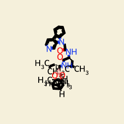 CC(C)C[C@H](NC(=O)[C@H](CC(C)C)NC(=O)Cn1c2ccccc2c2ccncc21)B1O[C@@H]2C[C@@H]3C[C@@H](C3(C)C)[C@]2(C)O1